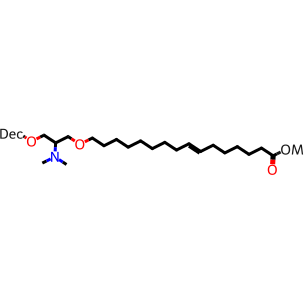 CCCCCCCCCCOCC(COCCCCCCCC/C=C/CCCCCC(=O)OC)N(C)C